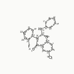 O=c1c2cc(Cl)ccc2nc(Nc2ccccc2)n1-c1ccccc1F